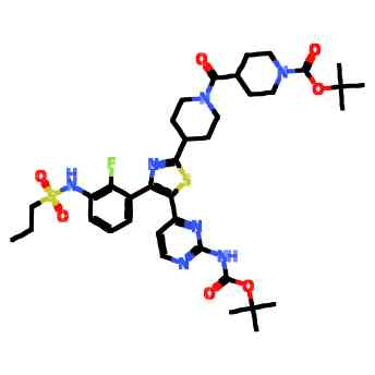 CCCS(=O)(=O)Nc1cccc(-c2nc(C3CCN(C(=O)C4CCN(C(=O)OC(C)(C)C)CC4)CC3)sc2-c2ccnc(NC(=O)OC(C)(C)C)n2)c1F